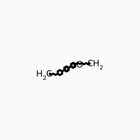 C=CCCCOCc1ccc(-c2ccc(C3CCC(CCC=C)CC3)cc2)cc1